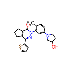 O=c1c2c(c(-c3cccs3)nn1-c1cc(N3CCC(O)C3)ccc1C(F)(F)F)CCC2